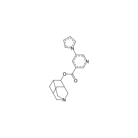 O=C(OC1C2CC3CC1CN(C3)C2)c1cncc(-n2cccc2)c1